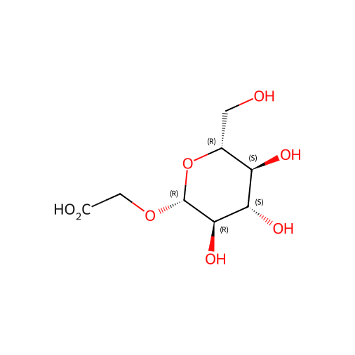 O=C(O)CO[C@@H]1O[C@H](CO)[C@@H](O)[C@H](O)[C@H]1O